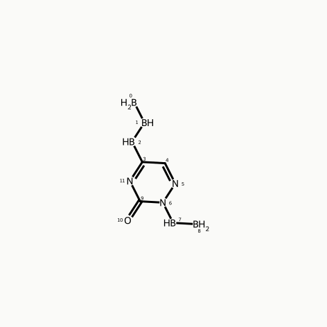 BBBc1cnn(BB)c(=O)n1